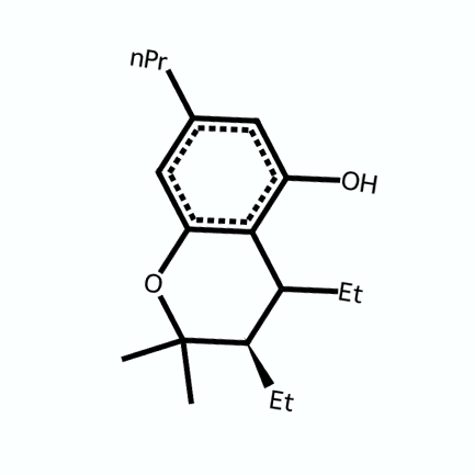 CCCc1cc(O)c2c(c1)OC(C)(C)[C@H](CC)C2CC